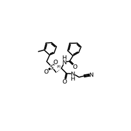 Cc1ccccc1CS(=O)(=O)C[C@H](NC(=O)c1ccccc1)C(=O)NCC#N